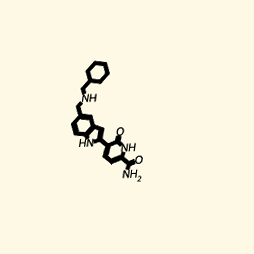 NC(=O)c1[c]cc(-c2cc3cc(CNCC4CCCCC4)ccc3[nH]2)c(=O)[nH]1